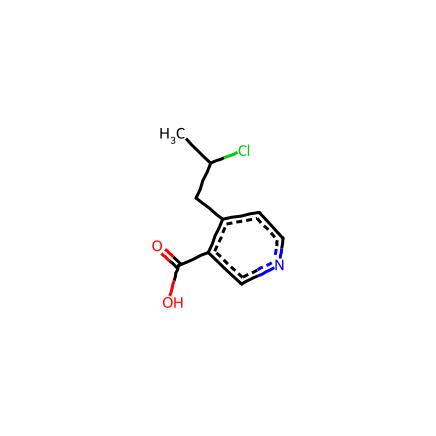 CC(Cl)Cc1ccncc1C(=O)O